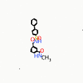 CNC(=O)c1cccc(CNS(=O)(=O)c2ccc(-c3ccccc3)cc2)c1